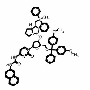 COc1ccc(C(OC[C@H]2O[C@@H](n3ccc(NC(=O)Nc4ccc5ccccc5c4)nc3=O)C[C@@H]2O[P@]2O[C@H](C[Si](C)(c3ccccc3)c3ccccc3)[C@@H]3CCCN32)(c2ccccc2)c2ccc(OC)cc2)cc1